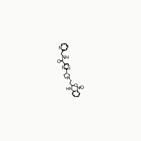 O=Nc1ccccc1NC(=O)CCN1CCC(c2nc(C(=O)NCc3ccccn3)cs2)C1